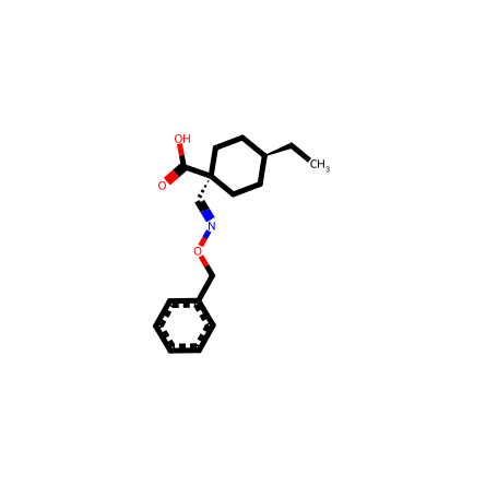 CC[C@H]1CC[C@@](C=NOCc2ccccc2)(C(=O)O)CC1